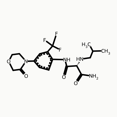 CC(C)CN[C@H](C(N)=O)C(=O)Nc1ccc(N2CCOCC2=O)cc1C(F)(F)F